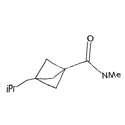 CNC(=O)C12CC(C(C)C)(C1)C2